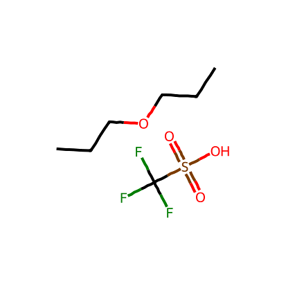 CCCOCCC.O=S(=O)(O)C(F)(F)F